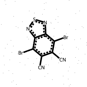 N#Cc1c(C#N)c(Br)c2nsnc2c1Br